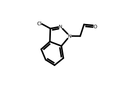 O=CCn1nc(Cl)c2ccccc21